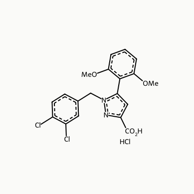 COc1cccc(OC)c1-c1cc(C(=O)O)nn1Cc1ccc(Cl)c(Cl)c1.Cl